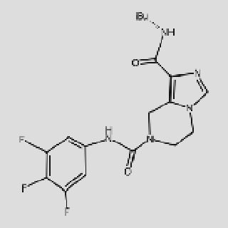 CC[C@@H](C)NC(=O)c1ncn2c1CN(C(=O)Nc1cc(F)c(F)c(F)c1)CC2